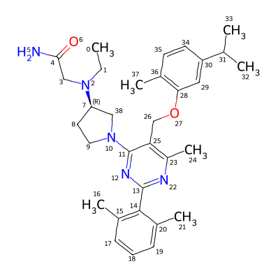 CCN(CC(N)=O)[C@@H]1CCN(c2nc(-c3c(C)cccc3C)nc(C)c2COc2cc(C(C)C)ccc2C)C1